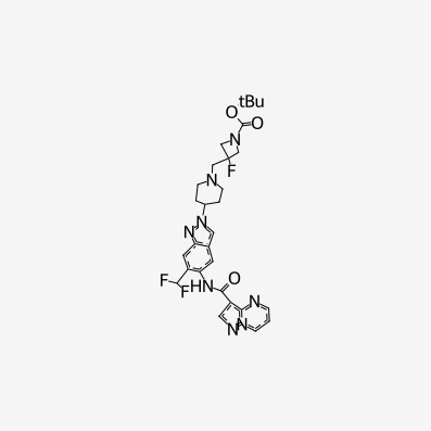 CC(C)(C)OC(=O)N1CC(F)(CN2CCC(n3cc4cc(NC(=O)c5cnn6cccnc56)c(C(F)F)cc4n3)CC2)C1